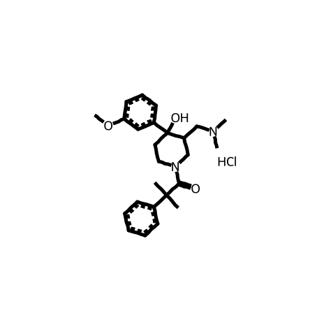 COc1cccc(C2(O)CCN(C(=O)C(C)(C)c3ccccc3)CC2CN(C)C)c1.Cl